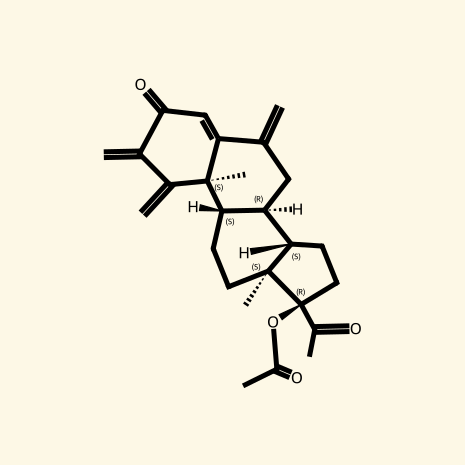 C=C1C[C@@H]2[C@H](CC[C@@]3(C)[C@H]2CC[C@]3(OC(C)=O)C(C)=O)[C@@]2(C)C(=C)C(=C)C(=O)C=C12